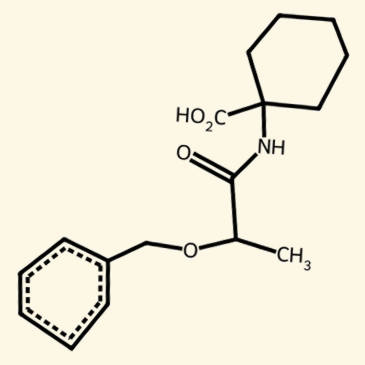 CC(OCc1ccccc1)C(=O)NC1(C(=O)O)CCCCC1